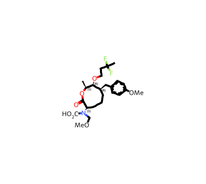 COCN(C(=O)O)[C@H]1CCC[C@H](Cc2ccc(OC)cc2)[C@@H](OCCC(C)(F)F)[C@H](C)OC1=O